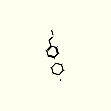 CSCc1ccc([C@H]2CC[C@@H](C)CC2)cc1